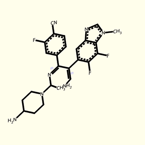 CC(/N=C(\C(=C/N)c1cc2ncn(C)c2c(F)c1F)c1ccc(C#N)c(F)c1)N1CCC(N)CC1